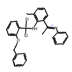 CCC(CC)(Pc1c(C)cccc1/C(C)=N/c1ccccc1)c1ccccc1OCc1ccccc1